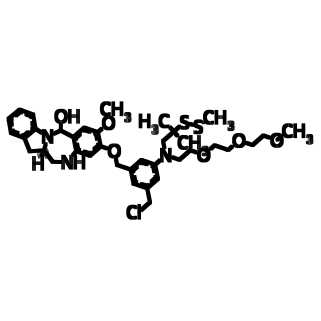 COCCOCCOCCN(CC(C)(C)SSC)c1cc(CCl)cc(COc2cc3c(cc2OC)C(O)N2c4ccccc4C[C@H]2CN3)c1